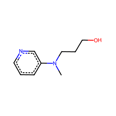 CN(CCCO)c1cccnc1